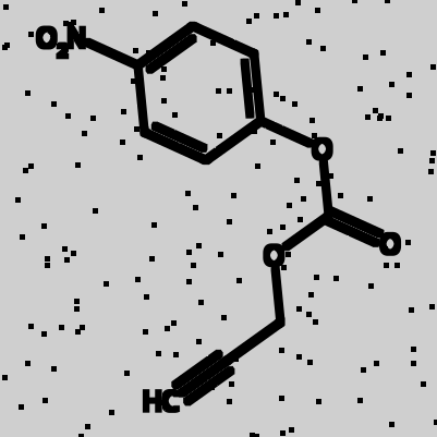 C#CCOC(=O)Oc1ccc([N+](=O)[O-])cc1